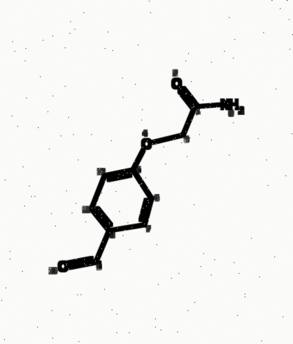 NC(=O)COc1ccc([C]=O)cc1